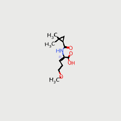 COCC/C=C(/NC(=O)C1CC1(C)C)C(=O)O